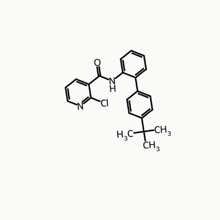 CC(C)(C)c1ccc(-c2ccccc2NC(=O)c2cccnc2Cl)cc1